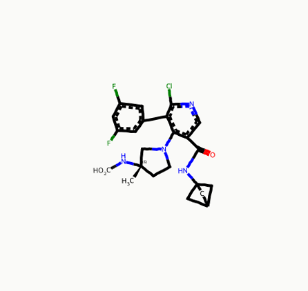 C[C@]1(NC(=O)O)CCN(c2c(C(=O)NC34CC(C3)C4)cnc(Cl)c2-c2cc(F)cc(F)c2)C1